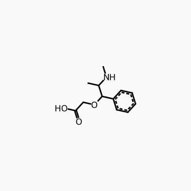 CNC(C)C(OCC(=O)O)c1ccccc1